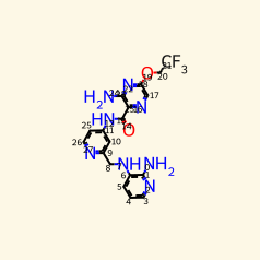 Nc1ncccc1NCc1cc(NC(=O)c2ncc(OCC(F)(F)F)nc2N)ccn1